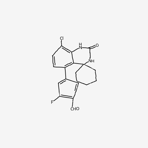 O=Cc1ccc(-c2ccc(Cl)c3c2C2(CCCCC2)NC(=O)N3)cc1F